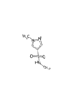 CNS(=O)(=O)c1cnn(C)c1